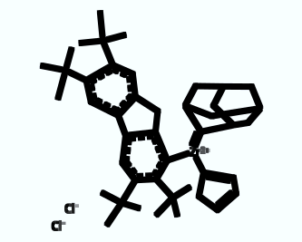 CC(C)(C)c1cc2c(cc1C(C)(C)C)-c1cc(C(C)(C)C)c(C(C)(C)C)[c]([Zr+2]([C]3=CC=CC3)=[C]3C4CC5CC(C4)CC3C5)c1C2.[Cl-].[Cl-]